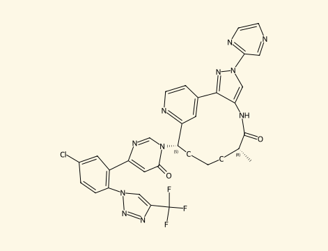 C[C@@H]1CCC[C@H](n2cnc(-c3cc(Cl)ccc3-n3cc(C(F)(F)F)nn3)cc2=O)c2cc(ccn2)-c2nn(-c3cnccn3)cc2NC1=O